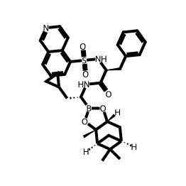 CC1(C)[C@@H]2C[C@H]3OB([C@H](CC4CC4)NC(=O)[C@H](Cc4ccccc4)NS(=O)(=O)c4cccc5cnccc45)O[C@@]3(C)[C@H]1C2